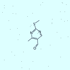 CSc1ncc(C=O)c(C)n1